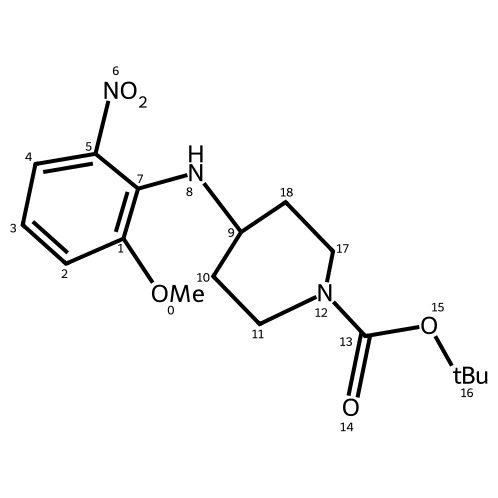 COc1cccc([N+](=O)[O-])c1NC1CCN(C(=O)OC(C)(C)C)CC1